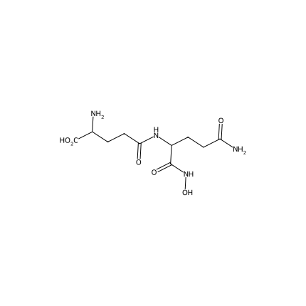 NC(=O)CCC(NC(=O)CCC(N)C(=O)O)C(=O)NO